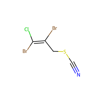 N#CSC/C(Br)=C(/Cl)Br